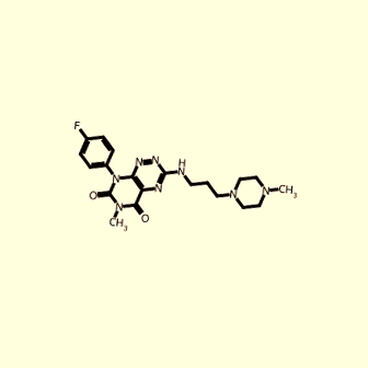 CN1CCN(CCCNc2nnc3c(n2)c(=O)n(C)c(=O)n3-c2ccc(F)cc2)CC1